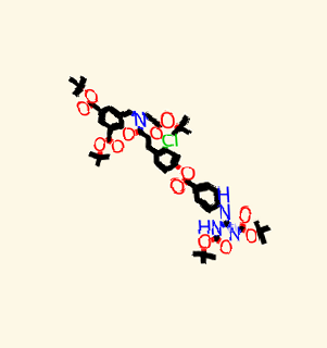 CC(C)(C)OC(=O)CN(Cc1cc(C(=O)OC(C)(C)C)cc(C(=O)OC(C)(C)C)c1)C(=O)CCc1ccc(OC(=O)c2ccc(N/C(=N\C(=O)OC(C)(C)C)NC(=O)OC(C)(C)C)cc2)cc1Cl